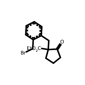 CCOC(=O)C1(Cc2ccccc2CBr)CCCC1=O